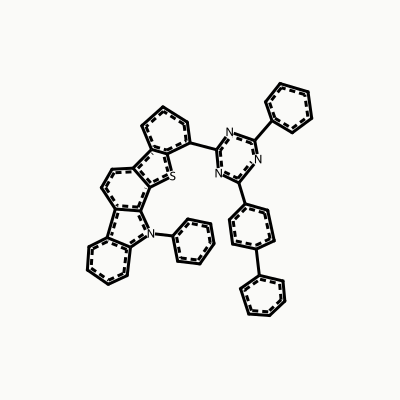 c1ccc(-c2ccc(-c3nc(-c4ccccc4)nc(-c4cccc5c4sc4c5ccc5c6ccccc6n(-c6ccccc6)c54)n3)cc2)cc1